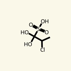 CC(Cl)C(O)(O)S(=O)(=O)O